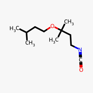 CC(C)CCOC(C)(C)CCN=C=O